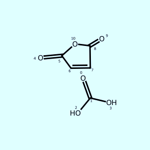 O=C(O)O.O=C1C=CC(=O)O1